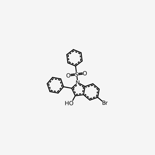 O=S(=O)(c1ccccc1)n1c(-c2ccccc2)c(O)c2cc(Br)ccc21